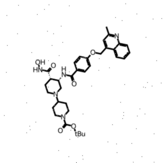 Cc1cc(COc2ccc(C(=O)N[C@@H]3CN(C4CCN(C(=O)OC(C)(C)C)CC4)CC[C@@H]3C(=O)NO)cc2)c2ccccc2n1